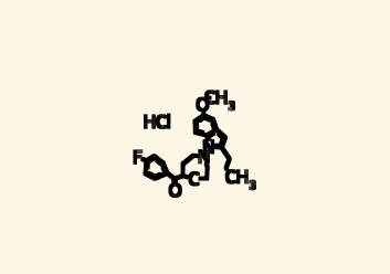 CCCc1cc2cc(OC)ccc2n1N1CCCC(C(=O)c2ccc(F)cc2)CC1.Cl